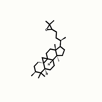 C[C@H](CCC1OC1(C)C)C1CC[C@@]2(C)[C@@H]3CC[C@H]4C(C)(C)[C@@H](C)CC[C@@]45CC35CC[C@]12C